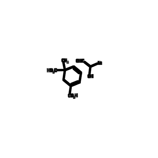 CC1(C(=O)O)C=CC=C(C(=O)O)C1.CCC(O)C=O